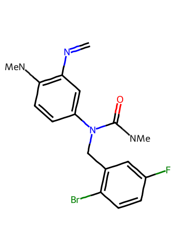 C=Nc1cc(N(Cc2cc(F)ccc2Br)C(=O)NC)ccc1NC